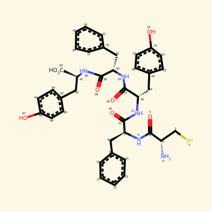 N[C@@H](CS)C(=O)N[C@@H](Cc1ccccc1)C(=O)N[C@@H](Cc1ccc(O)cc1)C(=O)N[C@@H](Cc1ccccc1)C(=O)N[C@@H](Cc1ccc(O)cc1)C(=O)O